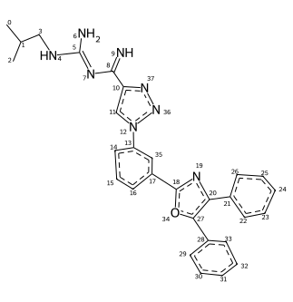 CC(C)CN/C(N)=N/C(=N)c1cn(-c2cccc(-c3nc(-c4ccccc4)c(-c4ccccc4)o3)c2)nn1